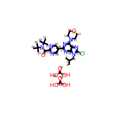 CC(C)Cn1c(Cl)nc2c(N3CCOCC3)nc(-c3cnc(C(=O)N(C(C)(C)C)C(C)(C)C)nc3)nc21.O=C(O)O.O=C(O)O